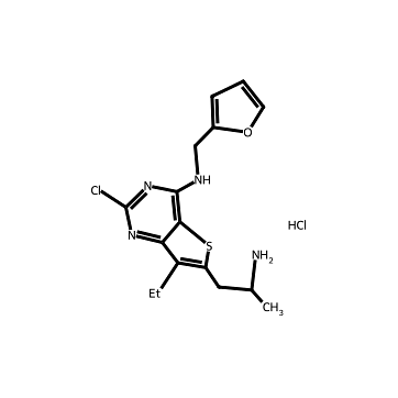 CCc1c(CC(C)N)sc2c(NCc3ccco3)nc(Cl)nc12.Cl